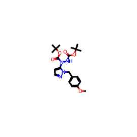 COc1ccc(Cn2nccc2N(NC(=O)OC(C)(C)C)C(=O)OC(C)(C)C)cc1